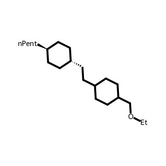 CCCCC[C@H]1CC[C@H](CCC2CCC(COCC)CC2)CC1